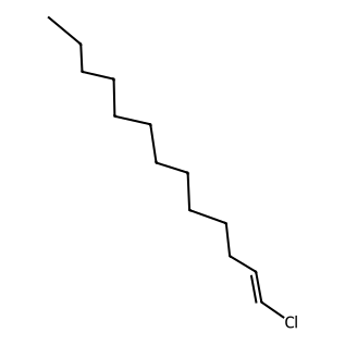 CCCCCCCCCCCC=CCl